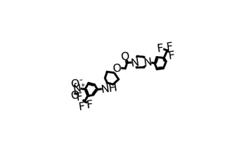 O=C(COC1CCC(Nc2ccc([N+](=O)[O-])c(C(F)(F)F)c2)CC1)N1CCN(c2cccc(C(F)(F)F)c2)CC1